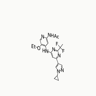 CCOc1cnc(NC(C)=O)cc1Nc1cc(-c2cnn(C3CC3)c2)nc(C(C)(F)F)n1